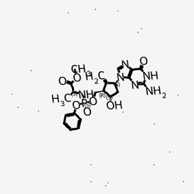 C=C1[C@H](CO[P@@](=O)(N[C@@H](C)C(=O)OC)Oc2ccccc2)[C@@H](O)C[C@@H]1n1cnc2c(=O)[nH]c(N)nc21